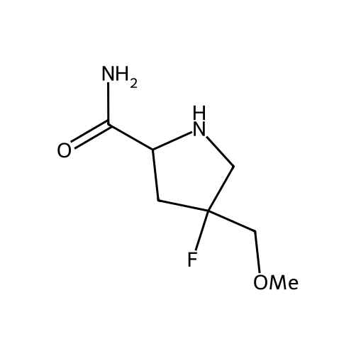 COCC1(F)CNC(C(N)=O)C1